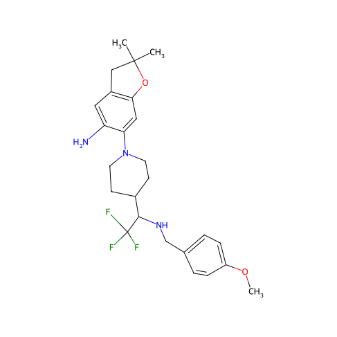 COc1ccc(CNC(C2CCN(c3cc4c(cc3N)CC(C)(C)O4)CC2)C(F)(F)F)cc1